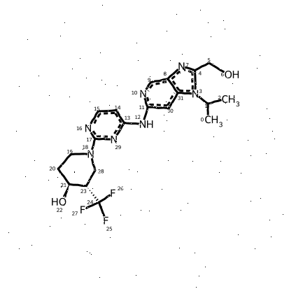 CC(C)n1c(CO)nc2cnc(Nc3ccnc(N4CC[C@H](O)[C@@H](C(F)(F)F)C4)n3)cc21